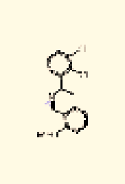 COc1ccccc1/C=N\C(C)c1cccc(Cl)c1Cl